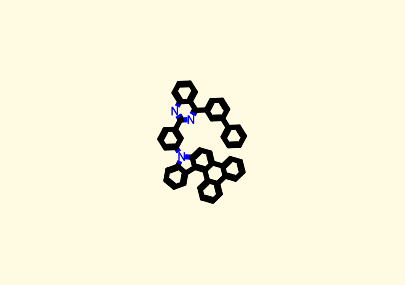 c1ccc(-c2cccc(-c3nc(-c4cccc(-n5c6ccccc6c6c7c8ccccc8c8ccccc8c7ccc65)c4)nc4ccccc34)c2)cc1